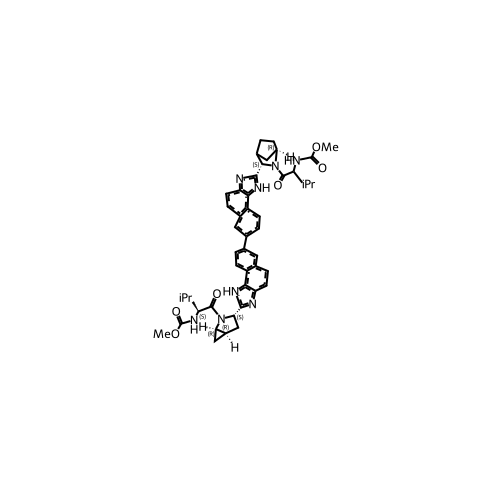 COC(=O)NC(C(=O)N1[C@@H]2CCC(C2)[C@H]1c1nc2ccc3cc(-c4ccc5c(ccc6nc([C@@H]7C[C@H]8C[C@H]8N7C(=O)[C@@H](NC(=O)OC)C(C)C)[nH]c65)c4)ccc3c2[nH]1)C(C)C